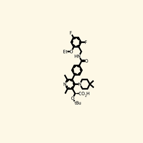 CCOc1cc(F)cc(F)c1CNC(=O)c1ccc(-c2c(C)nc(C)c([C@H](OC(C)(C)C)C(=O)O)c2N2CCC(C)(C)CC2)cc1